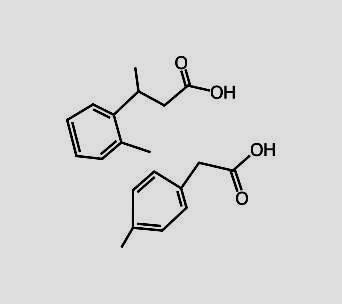 Cc1ccc(CC(=O)O)cc1.Cc1ccccc1C(C)CC(=O)O